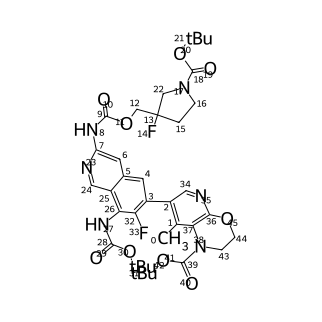 Cc1c(-c2cc3cc(NC(=O)OCC4(F)CCN(C(=O)OC(C)(C)C)C4)ncc3c(NC(=O)OC(C)(C)C)c2F)cnc2c1N(C(=O)OC(C)(C)C)CCO2